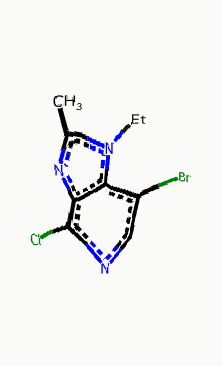 CCn1c(C)nc2c(Cl)ncc(Br)c21